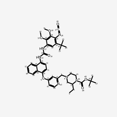 CCC1CN(Cc2cc(Oc3ccc(NC(=O)Nc4cc(C(C)(C)C)c(N=C=O)c(OC)c4OC)c4ccccc34)ccn2)CCN1C(=O)OC(C)(C)C